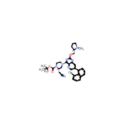 CN1CCC[C@H]1COc1nc(N2CCN(C(=O)OC(C)(C)C)[C@@H](CC#N)C2)c2ncc(-c3cccc4cccc(Cl)c34)cc2n1